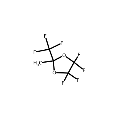 CC1(C(F)(F)F)OC(F)(F)C(F)(F)O1